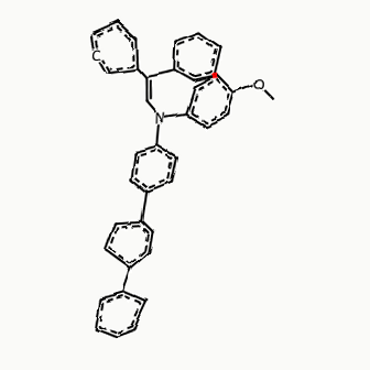 COc1ccc(N(C=C(c2ccccc2)c2ccccc2)c2ccc(-c3ccc(-c4ccccc4)cc3)cc2)cc1